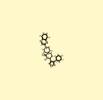 CN1C(=O)C2(CCC1c1conc1-c1ccccc1)CCN(c1cnc3ccccc3n1)CC2